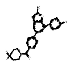 CCc1cc2cc(-c3ccc(C(=O)N4CCC(F)(F)CC4)cc3)cc(-c3ccc(Cl)cc3)c2o1